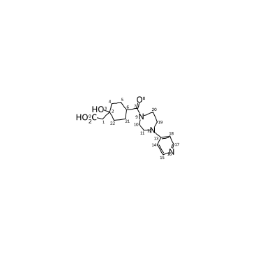 O=C(O)CC1(O)CCC(C(=O)N2CCN(c3ccncc3)CC2)CC1